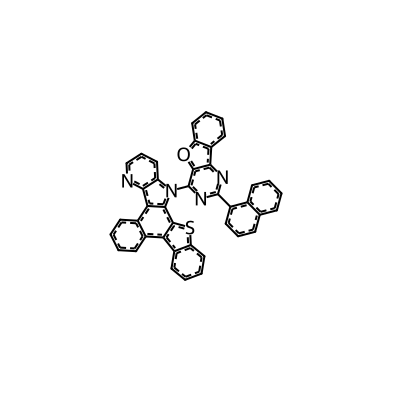 c1ccc2c(-c3nc(-n4c5cccnc5c5c6ccccc6c6c7ccccc7sc6c54)c4oc5ccccc5c4n3)cccc2c1